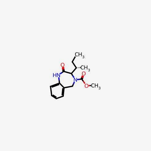 CC[C@H](C)C1C(=O)Nc2ccccc2CN1C(=O)OC